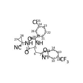 N#CC1(NC(=O)C(Cc2nc3cc(C(F)(F)F)ccc3o2)NC(=O)c2cccc(Cl)c2)CC1